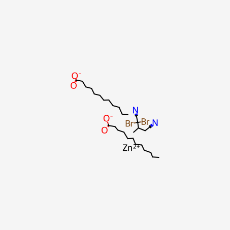 CC(CC#N)C(Br)(Br)C#N.CCCCCCCCCCCC(=O)[O-].CCCCCCCCCCCC(=O)[O-].[Zn+2]